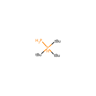 CC(C)(C)[PH](P)(C(C)(C)C)C(C)(C)C